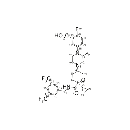 C[C@H]1CN([C@@H]2CC[C@@](C(=O)NCc3cc(C(F)(F)F)cc(C(F)(F)F)c3)(C3CC3)OC2)CCN1c1ccc(F)c(C(=O)O)c1